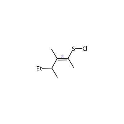 CCC(C)/C(C)=C(\C)SCl